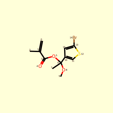 C=C(C)C(=O)OC(C)(OC)c1csc(Br)c1